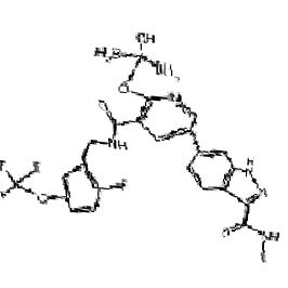 BC(B)(O)Oc1ncc(-c2ccc3c(C(=O)NC)n[nH]c3c2)cc1C(=O)NCc1cc(OC(F)(F)F)ccc1F